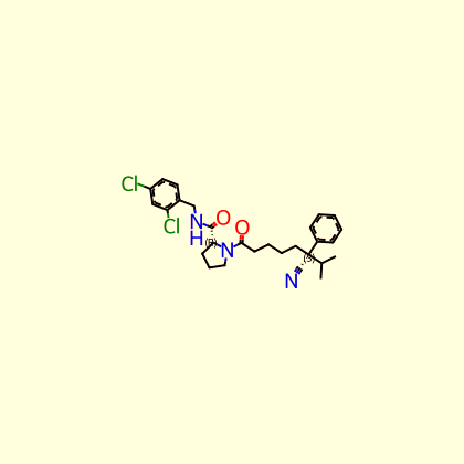 CC(C)[C@@](C#N)(CCCCC(=O)N1CCC[C@@H]1C(=O)NCc1ccc(Cl)cc1Cl)c1ccccc1